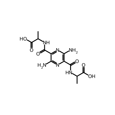 CC(NC(=O)c1nc(N)c(C(=O)NC(C)C(=O)O)nc1N)C(=O)O